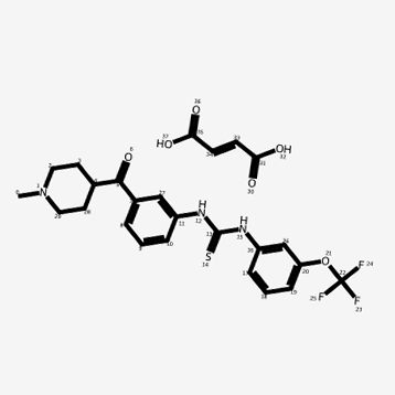 CN1CCC(C(=O)c2cccc(NC(=S)Nc3cccc(OC(F)(F)F)c3)c2)CC1.O=C(O)C=CC(=O)O